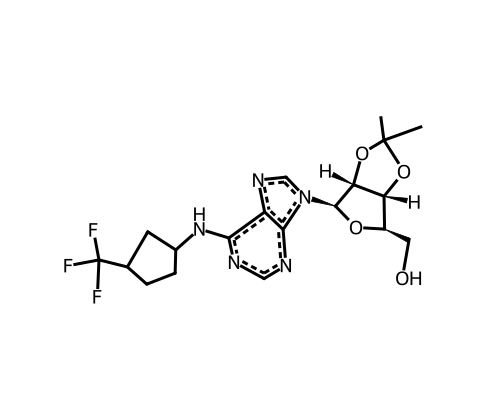 CC1(C)O[C@@H]2[C@H](O1)[C@@H](CO)O[C@H]2n1cnc2c(NC3CCC(C(F)(F)F)C3)ncnc21